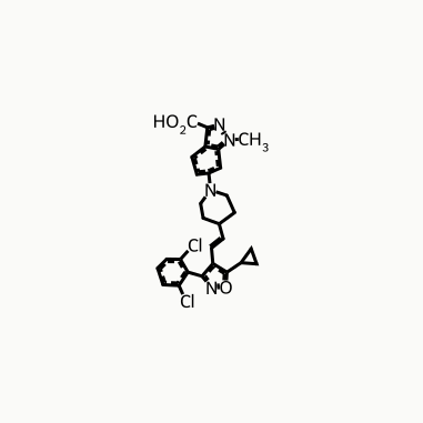 Cn1nc(C(=O)O)c2ccc(N3CCC(C=Cc4c(-c5c(Cl)cccc5Cl)noc4C4CC4)CC3)cc21